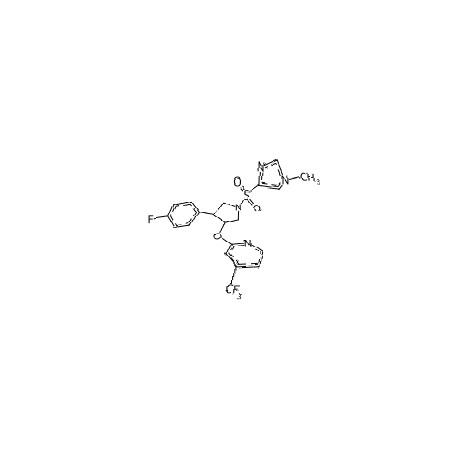 Cn1cnc(S(=O)(=O)N2CC(Oc3cc(C(F)(F)F)ccn3)C(c3ccc(F)cc3)C2)c1